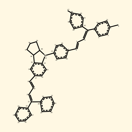 Cc1ccc(C(=C/C=C/c2ccc(N3c4ccc(/C=C/C=C(c5ccccc5)c5ccccc5)cc4C4CCCC43)cc2)c2ccc(C)cc2)cc1